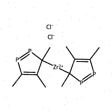 CC1=C(C)[C](C)([Zr+2][C]2(C)P=PC(C)=C2C)P=P1.[Cl-].[Cl-]